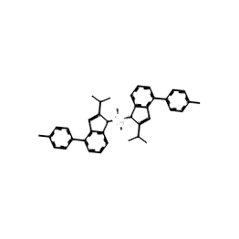 Cc1ccc(-c2cccc3c2C=C(C(C)C)C3[Si](C)(C)C2C(C(C)C)=Cc3c(-c4ccc(C)cc4)cccc32)cc1